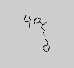 COc1ccccc1-c1cnc(C(=O)CCCCCCc2ccccc2)o1